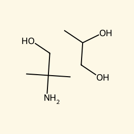 CC(C)(N)CO.CC(O)CO